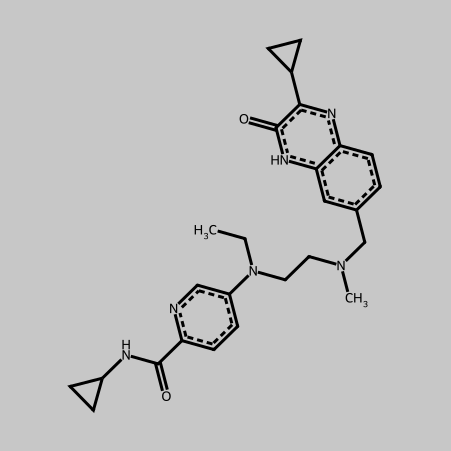 CCN(CCN(C)Cc1ccc2nc(C3CC3)c(=O)[nH]c2c1)c1ccc(C(=O)NC2CC2)nc1